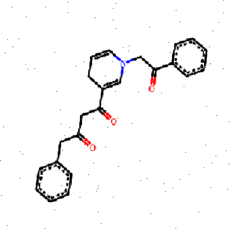 O=C(CC(=O)C1=CN(CC(=O)c2ccccc2)C=CC1)Cc1ccccc1